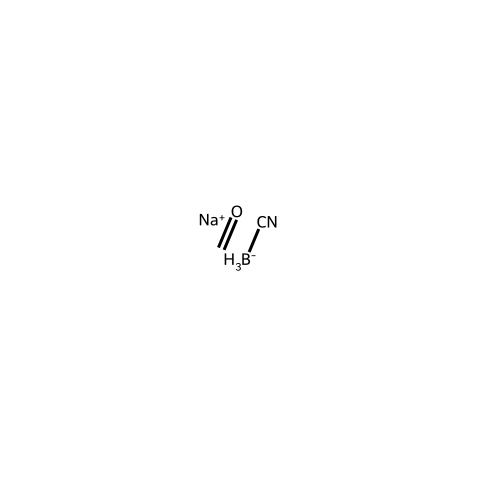 C=O.[BH3-]C#N.[Na+]